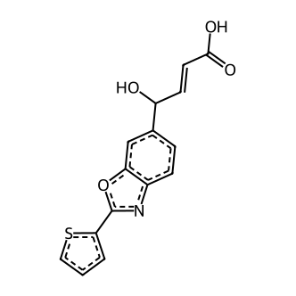 O=C(O)C=CC(O)c1ccc2nc(-c3cccs3)oc2c1